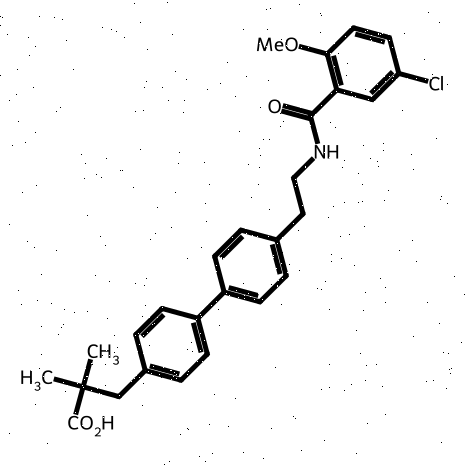 COc1ccc(Cl)cc1C(=O)NCCc1ccc(-c2ccc(CC(C)(C)C(=O)O)cc2)cc1